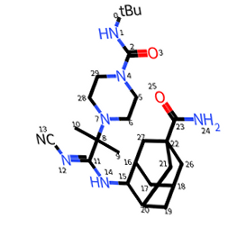 CC(C)(C)NC(=O)N1CCN(C(C)(C)/C(=N\C#N)NC2C3CC4CC2CC(C(N)=O)(C4)C3)CC1